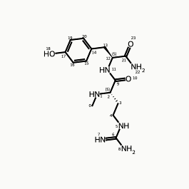 CN[C@@H](CCNC(=N)N)C(=O)N[C@@H](Cc1ccc(O)cc1)C(N)=O